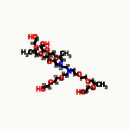 CC(COCCOCCN(CCOCCOCCO)CCN(CCOCCOCC(C)OCCO)CC(C)OCCOCCO)OCCO